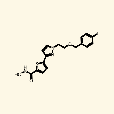 O=C(NO)c1ccc(-c2ccn(CCOCc3ccc(F)cc3)n2)s1